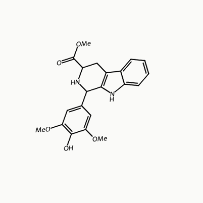 COC(=O)C1Cc2c([nH]c3ccccc23)C(c2cc(OC)c(O)c(OC)c2)N1